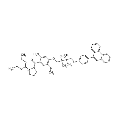 CCSC(SCC)[C@@H]1CCCN1C(=O)c1cc(OC)c(OCC(C)(C)C(C)(C)COc2ccc(-c3cc4ccccc4c4ccccc34)cc2)cc1N